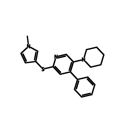 Cn1ccc(Sc2cc(-c3ccccc3)c(N3CCCCC3)cn2)c1